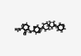 Nc1nccc(Sc2cnc(N3CCC4(CCN(c5cccnc5)C4)CC3)cn2)c1Cl